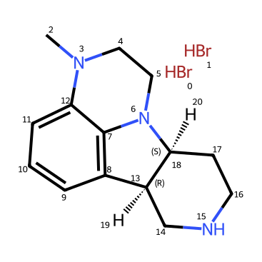 Br.Br.CN1CCN2c3c(cccc31)[C@@H]1CNCC[C@@H]12